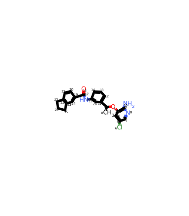 CC(Oc1cc(Cl)cnc1N)c1cccc(NC(=O)c2ccc3c(c2)CCC3)c1